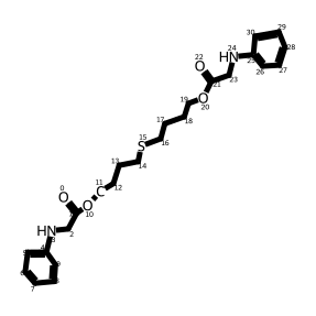 O=C(CNc1ccccc1)OCCCCSCCCCOC(=O)CNc1ccccc1